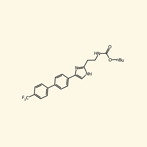 CCCCOC(=O)NCCc1nc(-c2ccc(-c3ccc(C(F)(F)F)cc3)cc2)c[nH]1